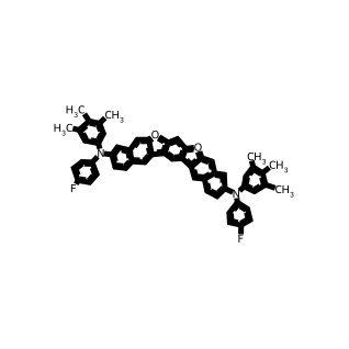 Cc1cc(N(c2ccc(F)cc2)c2ccc3cc4c(cc3c2)oc2cc3oc5cc6cc(N(c7ccc(F)cc7)c7cc(C)c(C)c(C)c7)ccc6cc5c3cc24)cc(C)c1C